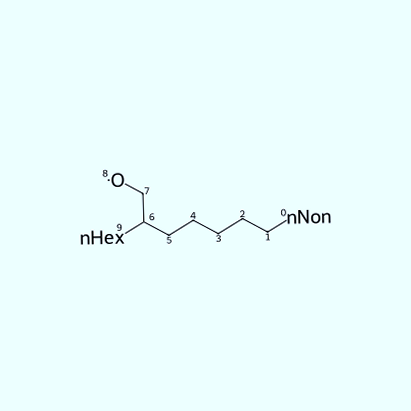 CCCCCCCCCCCCCCC(C[O])CCCCCC